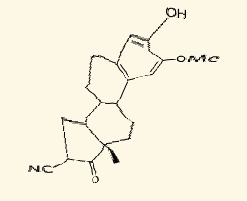 COc1cc2c(cc1O)CCC1C2CC[C@]2(C)C(=O)C(C#N)CC12